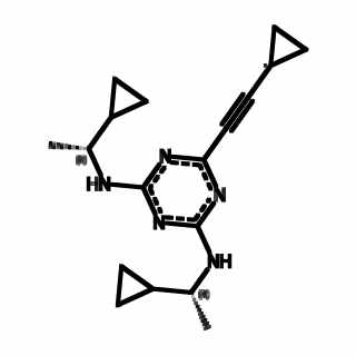 C[C@@H](Nc1nc(C#C[C]2CC2)nc(N[C@H](C)C2CC2)n1)C1CC1